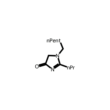 CCCCCCN1CC(=O)N=C1CCC